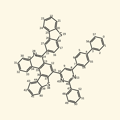 c1ccc(-c2ccc(-c3cc(-c4cc5c(-c6ccc7sc8ccccc8c7c6)nc6ccccc6c5c5c4sc4ccccc45)nc(-c4ccccc4)n3)cc2)cc1